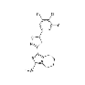 O=C(O)c1sc(C2=NOC(c3cc(Cl)c(Cl)c(Cl)c3)C2)c2c1CCCC2